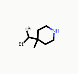 CCCC(CC)C1(C)CCNCC1